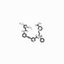 Cc1cc(C(=O)Nc2cccc(C#Cc3cncc(C(=O)N=S(=O)(CCCN4CCCC(C(=O)O)C4)c4ccccc4)c3)c2)n(C)n1